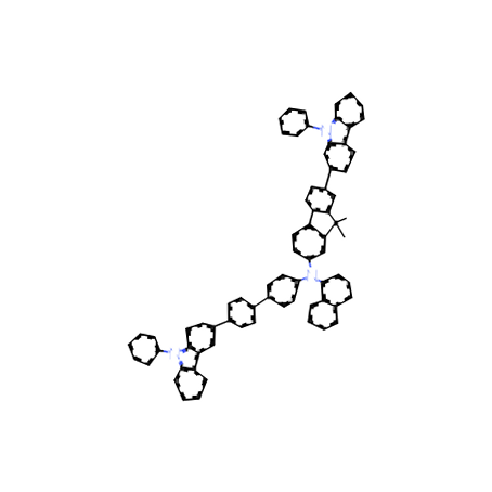 CC1(C)c2cc(-c3ccc4c5ccccc5n(-c5ccccc5)c4c3)ccc2-c2ccc(N(c3ccc(-c4ccc(-c5ccc6c(c5)c5ccccc5n6-c5ccccc5)cc4)cc3)c3cccc4ccccc34)cc21